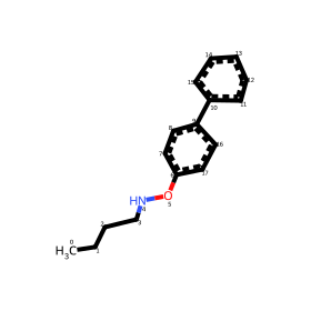 CCCCNOc1ccc(-c2ccccc2)cc1